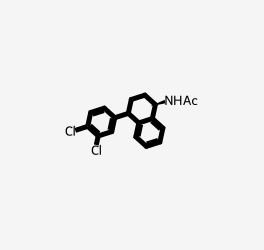 CC(=O)N[C@@H]1CCC(c2ccc(Cl)c(Cl)c2)c2ccccc21